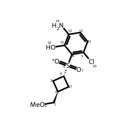 COC[C@H]1C[C@H](S(=O)(=O)c2c(Cl)ccc(N)c2O)C1